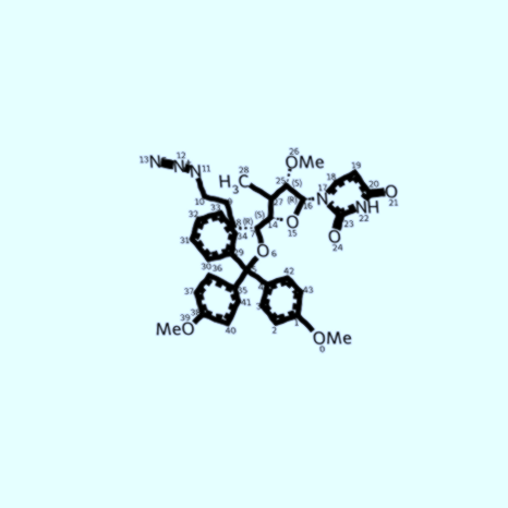 COc1ccc(C(O[C@H](CCCN=[N+]=[N-])[C@H]2O[C@@H](n3ccc(=O)[nH]c3=O)[C@@H](OC)C2C)(c2ccccc2)c2ccc(OC)cc2)cc1